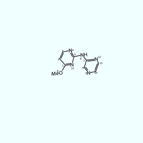 COc1ccnc(Nc2cnccn2)n1